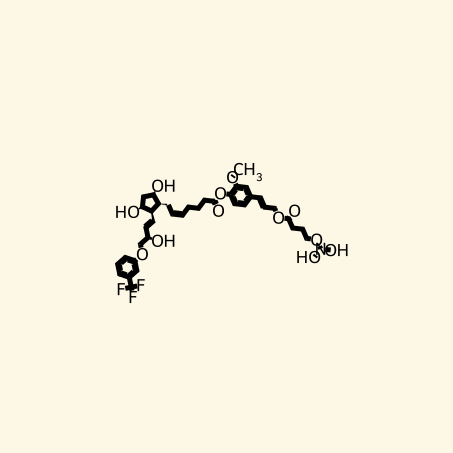 COc1cc(/C=C/COC(=O)CCCON(O)O)ccc1OC(=O)CCC/C=C\C[C@@H]1[C@@H](/C=C/[C@@H](O)COc2cccc(C(F)(F)F)c2)[C@H](O)C[C@@H]1O